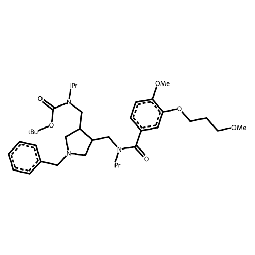 COCCCOc1cc(C(=O)N(CC2CN(Cc3ccccc3)CC2CN(C(=O)OC(C)(C)C)C(C)C)C(C)C)ccc1OC